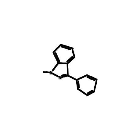 Cn1nc(-c2ccccc2)c2c[c]ccc21